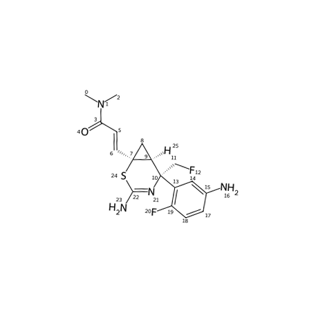 CN(C)C(=O)/C=C/[C@]12C[C@H]1[C@@](CF)(c1cc(N)ccc1F)N=C(N)S2